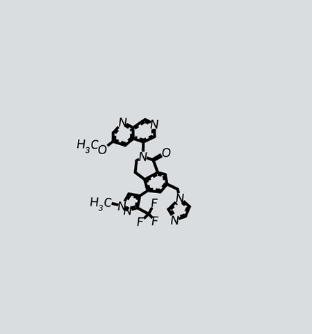 COc1cnc2cncc(N3CCc4c(cc(Cn5ccnc5)cc4-c4cn(C)nc4C(F)(F)F)C3=O)c2c1